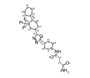 NC(=O)CCC(=O)Nc1ccc(-c2nnc(-c3ccc(-c4ccccc4)c(C(F)(F)F)c3)o2)cc1